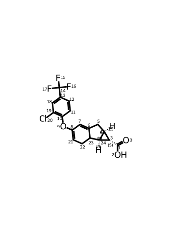 O=C(O)[C@H]1[C@@H]2CC3=CC(Oc4ccc(C(F)(F)F)cc4Cl)=CCC3[C@@H]21